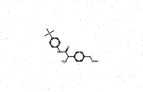 COCc1ccc(C(N)C(=O)Nc2ccc([Si](C)(C)C)cc2)cc1